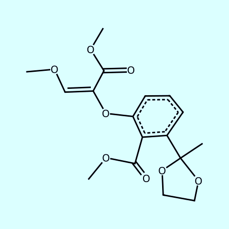 CO/C=C(/Oc1cccc(C2(C)OCCO2)c1C(=O)OC)C(=O)OC